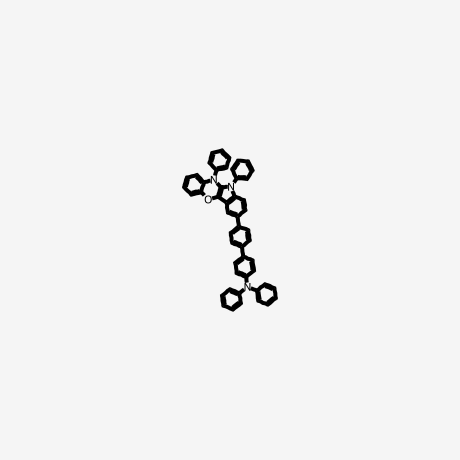 c1ccc(N(c2ccccc2)c2ccc(-c3ccc(-c4ccc5c(c4)c4c(n5-c5ccccc5)N(c5ccccc5)c5ccccc5O4)cc3)cc2)cc1